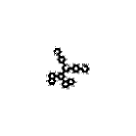 c1ccc(-c2ccc(-c3cc(-c4cc(-c5cccc6ccccc56)cc(-c5cccc6ccccc56)c4)cc(-c4ccc(-c5ccccn5)cc4)n3)cc2)nc1